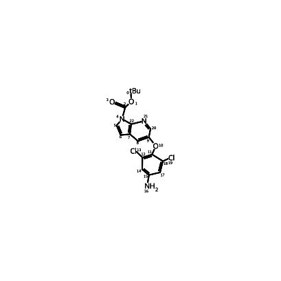 CC(C)(C)OC(=O)n1ccc2cc(Oc3c(Cl)cc(N)cc3Cl)cnc21